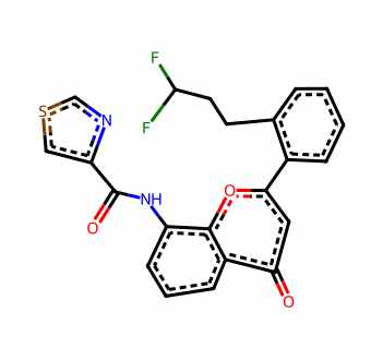 O=C(Nc1cccc2c(=O)cc(-c3ccccc3CCC(F)F)oc12)c1cscn1